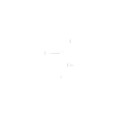 [2H]B(O)PF